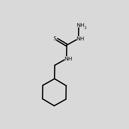 NNC(=S)NCC1CCCCC1